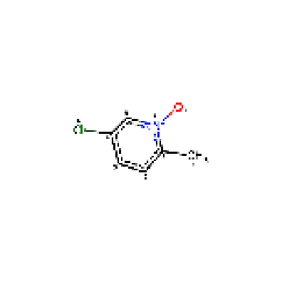 Cc1ccc(Cl)c[n+]1[O-]